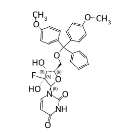 COc1ccc(C(OC[C@H]2O[C@@H](n3ccc(=O)[nH]c3=O)[C@@](O)(F)[C@@H]2O)(c2ccccc2)c2ccc(OC)cc2)cc1